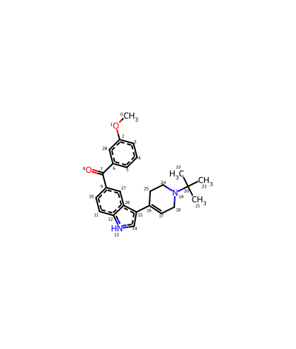 COc1cccc(C(=O)c2ccc3[nH]cc(C4=CCN(C(C)(C)C)CC4)c3c2)c1